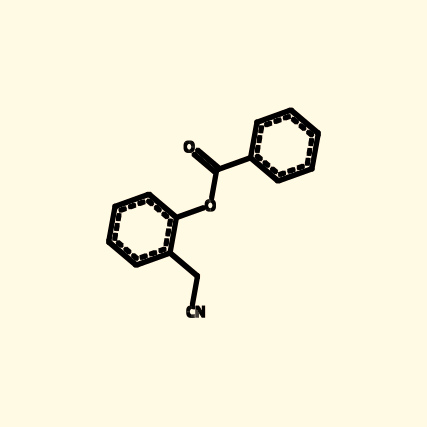 N#CCc1ccccc1OC(=O)c1ccccc1